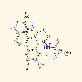 CC(=O)c1cnc2ccc(-c3cc(F)c(O)c(Cl)c3)cc2c1N[C@H]1CC[C@H](NC(=O)[C@@H](N)C(C)(C)C)CC1